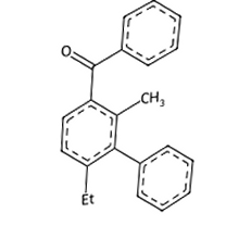 CCc1ccc(C(=O)c2ccccc2)c(C)c1-c1ccccc1